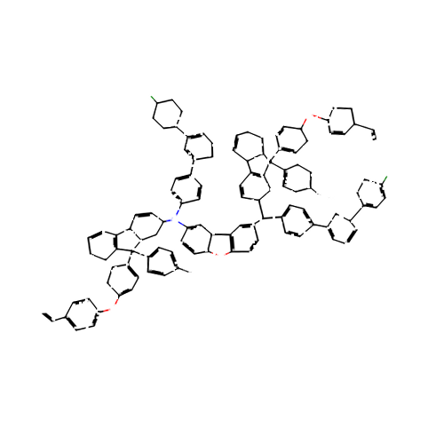 C=Cc1ccc(OC2=CC=C(C3(c4ccc(C(C)(C)C)cc4)C4=C(C=CCC4)C4C=CC(N(C5=CC6c7cc(C(c8ccc(C9=CC=CC(C%10=CC=C(F)CC%10)C9)cc8)C8C=CC9=C(C8)C(C8=CCC(OC%10C=CC(C=C)CC%10)C=C8)(C8=CCC(C(C)(C)C)CC8)C8CCC=CC98)ccc7OC6C=C5)c5ccc(C6=CC(C7CCC(F)CC7)=CCC6)cc5)CC43)CC2)cc1